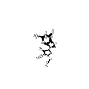 Nc1nc2c(ncn2[C@@H]2O[C@H](CO)[C@@H](O)C2=O)c(=O)[nH]1